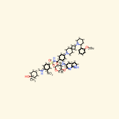 CC(C)(C)Oc1ccccc1[C@@H]1CCCCN1C1CC2(CCN(c3ccc(C(=O)NS(=O)(=O)c4ccc(NC[C@H]5CC[C@](C)(O)CC5)c([N+](=O)[O-])c4)c(N4c5cc6cc[nH]c6nc5O[C@H]5COCC[C@@H]54)c3)CC2)C1